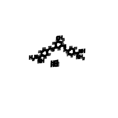 Cc1cc(SCc2ccc(C(=N)N)cc2)cc(SCc2ccc(C(=N)N)cc2)c1.Cl.Cl